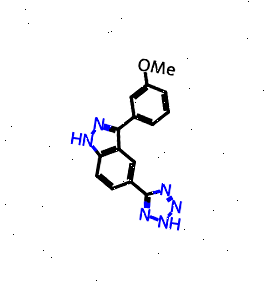 COc1cccc(-c2n[nH]c3ccc(-c4nn[nH]n4)cc23)c1